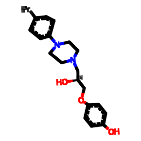 CC(C)c1ccc(N2CCN(C[C@H](O)COc3ccc(O)cc3)CC2)cc1